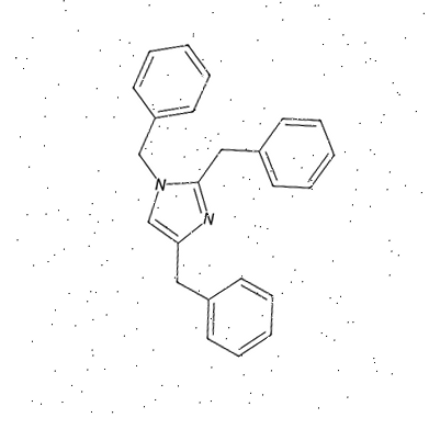 c1ccc(Cc2cn(Cc3ccccc3)c(Cc3ccccc3)n2)cc1